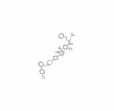 CCc1cc(S(=O)(=O)NC(=O)c2ccc(C3CCN(Cc4ccccc4-c4ccc(Cl)cc4)CC3)cc2)ccc1N[C@H](CCN(C)C)CSc1ccccc1